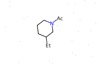 CCC1CCCN(C(C)=O)C1